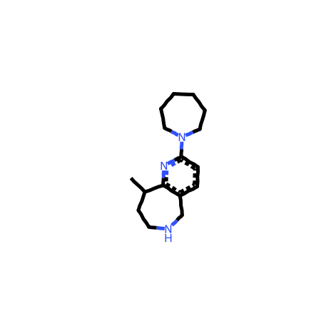 CC1CCNCc2ccc(N3CCCCCC3)nc21